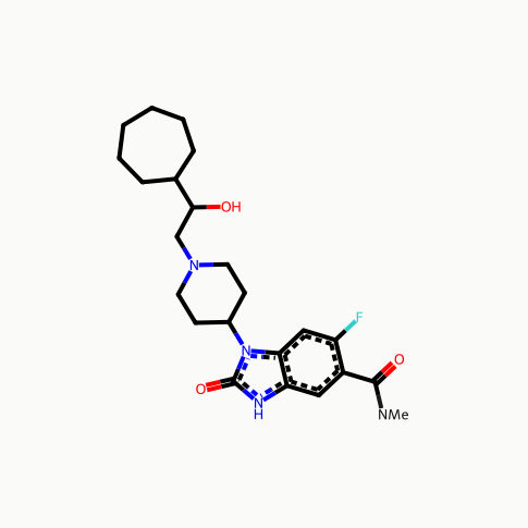 CNC(=O)c1cc2[nH]c(=O)n(C3CCN(CC(O)C4CCCCCC4)CC3)c2cc1F